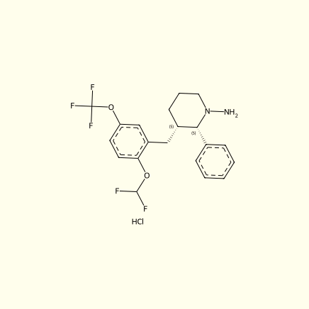 Cl.NN1CCC[C@@H](Cc2cc(OC(F)(F)F)ccc2OC(F)F)[C@H]1c1ccccc1